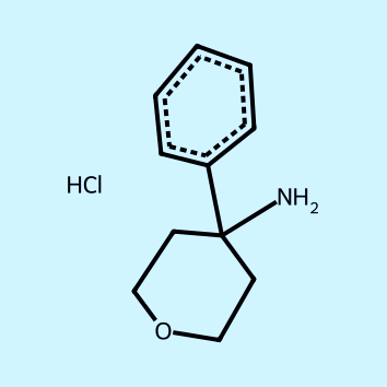 Cl.NC1(c2ccccc2)CCOCC1